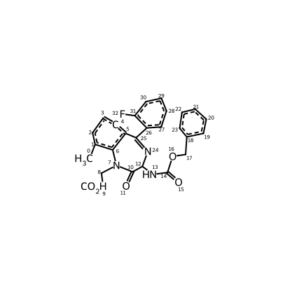 Cc1cccc2c1N(CC(=O)O)C(=O)C(NC(=O)OCc1ccccc1)N=C2c1ccccc1F